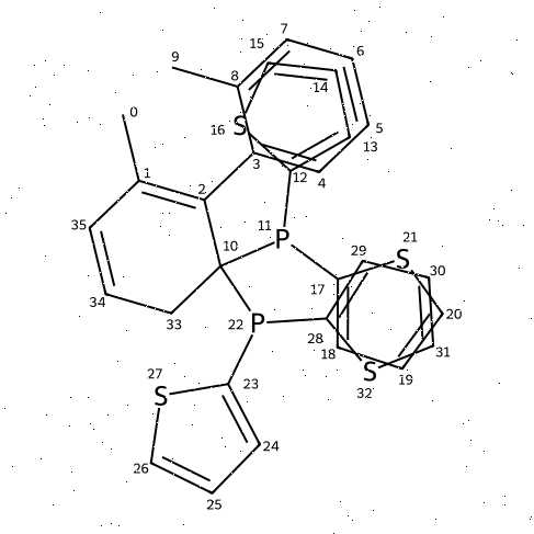 CC1=C(c2ccccc2C)C(P(c2cccs2)c2cccs2)(P(c2cccs2)c2cccs2)CC=C1